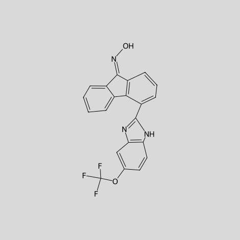 ON=C1c2ccccc2-c2c1cccc2-c1nc2cc(OC(F)(F)F)ccc2[nH]1